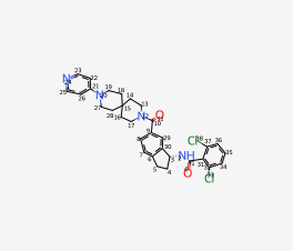 O=C(N[C@@H]1CCc2ccc(C(=O)N3CCC4(CC3)CCN(c3ccncc3)CC4)cc21)c1c(Cl)cccc1Cl